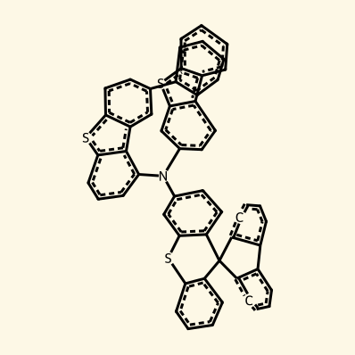 c1ccc(-c2ccc3sc4cccc(N(c5ccc6c(c5)Sc5ccccc5C65c6ccccc6-c6ccccc65)c5ccc6c(c5)sc5ccccc56)c4c3c2)cc1